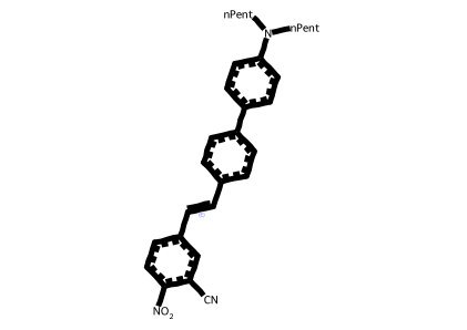 CCCCCN(CCCCC)c1ccc(-c2ccc(/C=C/c3ccc([N+](=O)[O-])c(C#N)c3)cc2)cc1